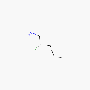 CCCC(F)CN